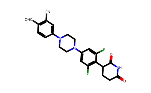 N#Cc1cc(N2CCN(c3cc(F)c(C4CCC(=O)NC4=O)c(F)c3)CC2)ccc1C=O